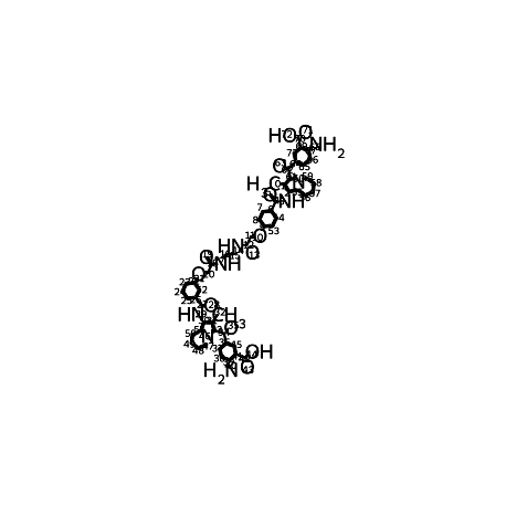 Cc1c(NC(=O)c2ccc(OCC(=O)NCCNC(=O)COc3cccc(C(=O)Nc4c(C)c(C(=O)c5ccc(N)c(C(=O)O)c5)n5ccccc45)c3)cc2)c2ccccn2c1C(=O)c1ccc(N)c(C(=O)O)c1